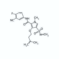 C=NS(=O)(=O)c1cn(C)c(C(=O)Nc2ccc(F)c(C#N)c2)c1OCCC(=C)C